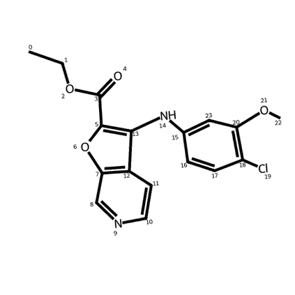 CCOC(=O)c1oc2cnccc2c1Nc1ccc(Cl)c(OC)c1